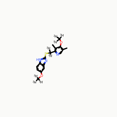 [2H]C([2H])([2H])Oc1ccc2[nH]c(SC([2H])([2H])c3ncc(C)c(OC([2H])([2H])[2H])c3C)nc2c1